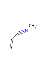 C=CC#N.[CH3]